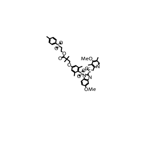 COc1ccc2c(c1)nc([S+]([O-])Cc1ncc(C)c(OC)c1C)n2S(=O)(=O)c1c(C)cc(OCC(C)(C)C(=O)OCCS(=O)(=O)c2ccc(C)cc2)cc1C